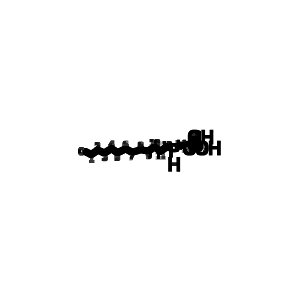 CCCCCCCCCCCCCPCOB(O)O